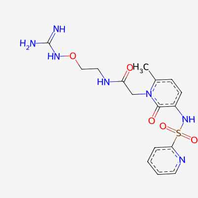 Cc1ccc(NS(=O)(=O)c2ccccn2)c(=O)n1CC(=O)NCCONC(=N)N